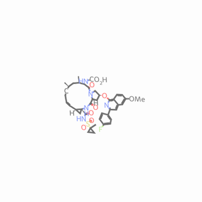 COc1ccc2c(O[C@@H]3C[C@H]4C(=O)N[C@]5(C(=O)NS(=O)(=O)C6(C)CC6)C[C@H]5C=CCC[C@@H](C)C[C@@H](C)[C@H](NC(=O)O)C(=O)N4C3)nc(-c3ccc(F)cc3)cc2c1